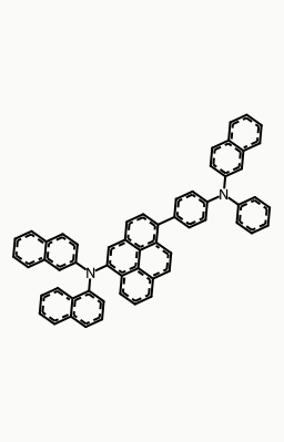 c1ccc(N(c2ccc(-c3ccc4cc(N(c5ccc6ccccc6c5)c5cccc6ccccc56)c5cccc6ccc3c4c65)cc2)c2ccc3ccccc3c2)cc1